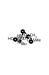 CSc1ccccc1Cn1c(C)cc(OCc2ccccc2CNC(=O)Nc2cc(C(C)(C)C)nn2-c2ccc(O)cc2)c(Cl)c1=O